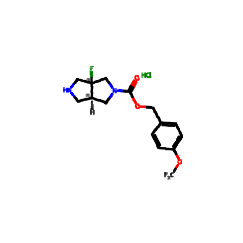 Cl.O=C(OCc1ccc(OC(F)(F)F)cc1)N1C[C@H]2CNC[C@]2(F)C1